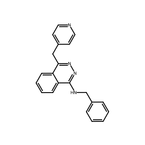 c1ccc(CNc2nnc(Cc3ccncc3)c3ccccc23)cc1